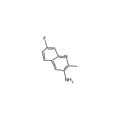 Cc1nc2cc(F)ccc2cc1N